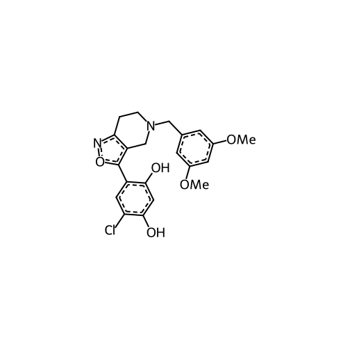 COc1cc(CN2CCc3noc(-c4cc(Cl)c(O)cc4O)c3C2)cc(OC)c1